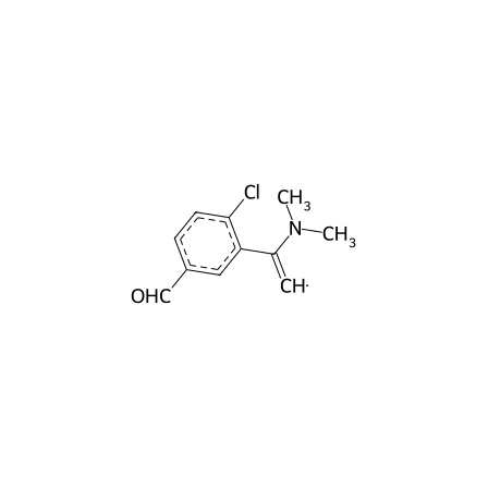 [CH]=C(c1cc(C=O)ccc1Cl)N(C)C